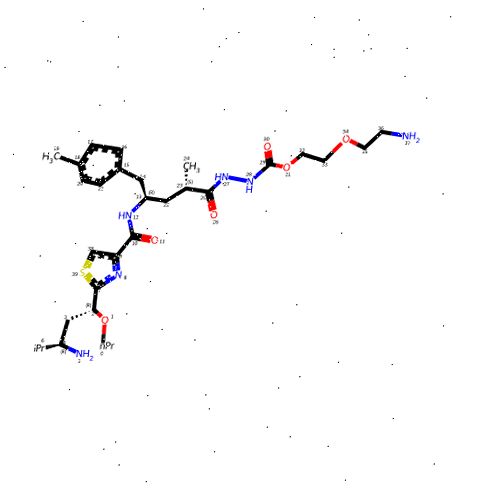 CCCO[C@H](C[C@@H](N)C(C)C)c1nc(C(=O)N[C@@H](Cc2ccc(C)cc2)C[C@H](C)C(=O)NNC(=O)OCCOCCN)cs1